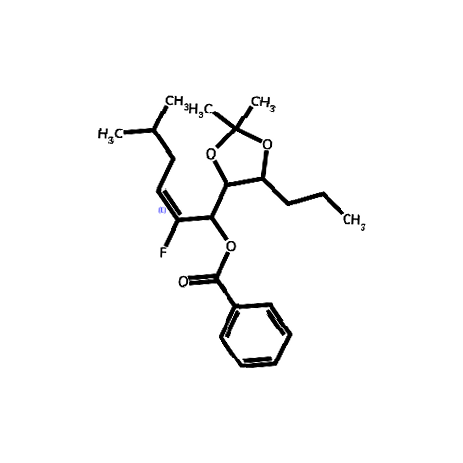 CCCC1OC(C)(C)OC1C(OC(=O)c1ccccc1)/C(F)=C\CC(C)C